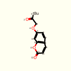 CC(C)(C)C(=O)COc1ccc2ccc(=O)oc2c1